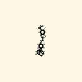 NC(=O)c1ccc2oc(COc3ccc(C45CC6CC(CC(C6)C4)C5)cc3)nc2c1